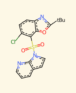 CC(C)(C)c1nc2ccc(Cl)c(S(=O)(=O)n3ccc4cccnc43)c2o1